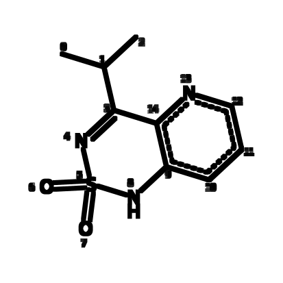 CC(C)C1=NS(=O)(=O)Nc2cccnc21